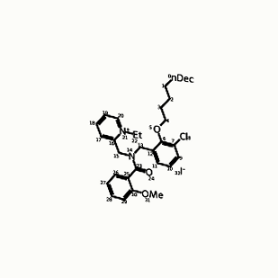 CCCCCCCCCCCCCCOc1c(Cl)cccc1CN(Cc1cccc[n+]1CC)C(=O)c1ccccc1OC.[I-]